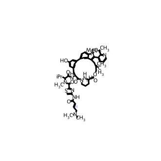 CCn1c(-c2cccnc2[C@H](C)OC)c2c3cc(ccc31)-c1cc(O)cc(c1)C[C@H](NC(=O)C(C(C)C)N(C)C(=O)c1nc(NC(=O)/C=C/CN(C)C)cs1)C(=O)N1CCC[C@H](N1)C(=O)OCC(C)(C)C2